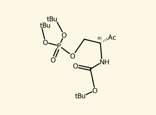 CC(=O)[C@@H](COP(=O)(OC(C)(C)C)OC(C)(C)C)NC(=O)OC(C)(C)C